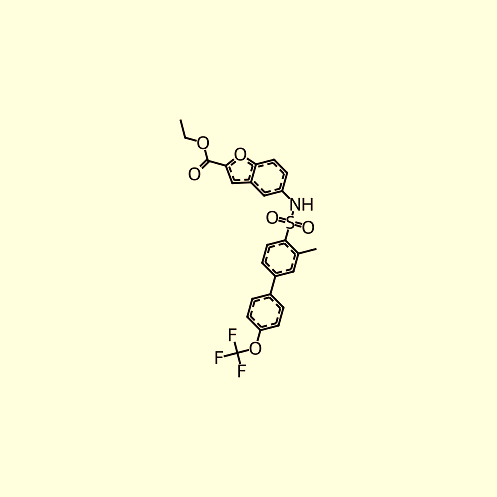 CCOC(=O)c1cc2cc(NS(=O)(=O)c3ccc(-c4ccc(OC(F)(F)F)cc4)cc3C)ccc2o1